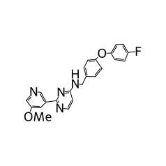 COc1cncc(-c2nccc(NCc3ccc(Oc4ccc(F)cc4)cc3)n2)c1